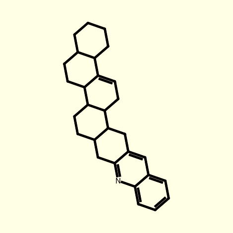 C1=C2C3CCCCC3CCC2C2CCC3Cc4nc5ccccc5cc4CC3C2C1